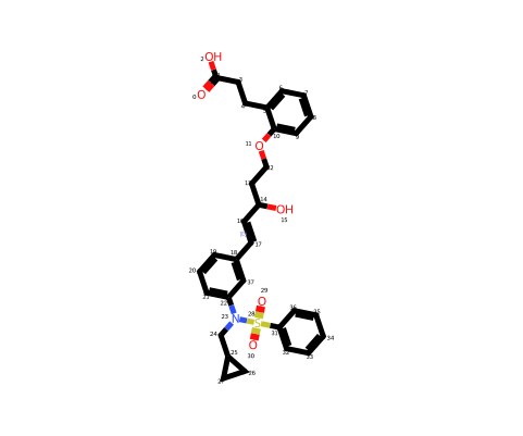 O=C(O)CCc1ccccc1OCCC(O)/C=C/c1cccc(N(CC2CC2)S(=O)(=O)c2ccccc2)c1